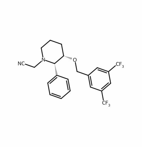 N#CCN1CCC[C@H](OCc2cc(C(F)(F)F)cc(C(F)(F)F)c2)[C@@H]1c1ccccc1